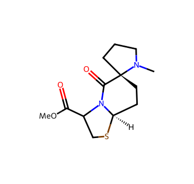 COC(=O)C1CS[C@@H]2CC[C@]3(CCCN3C)C(=O)N12